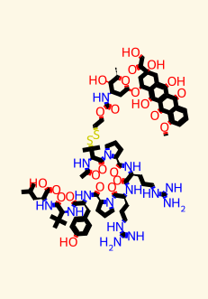 COc1cccc2c1C(=O)c1c(O)c3c(c(O)c1C2=O)C[C@@](O)(C(=O)CO)C[C@@H]3O[C@H]1C[C@H](NC(=O)OCCSSC(C)(C)[C@H](NC(C)=O)C(=O)N2CCC[C@H]2C(=O)N[C@@H](CCCNC(=N)N)C(=O)N[C@@H](CCCNC(=N)N)C(=O)N2CCC[C@H]2C(=O)N[C@@H](Cc2ccc(O)cc2)C(=O)N[C@H](C(=O)N[C@@H](CC(C)C)C(=O)O)C(C)(C)C)[C@H](O)[C@H](C)O1